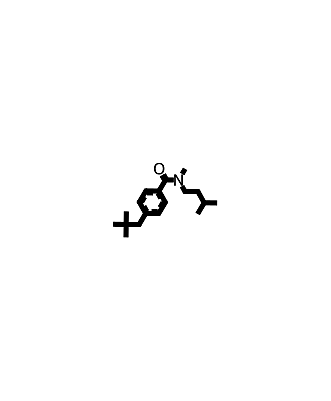 CC(C)CCN(C)C(=O)c1ccc(CC(C)(C)C)cc1